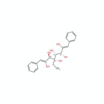 CC[C@@](O)([C@H](O)C(O)=Cc1ccccc1)[C@H](O)[C@@H](O)C(O)=Cc1ccccc1